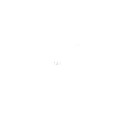 c1ccc(-c2ccccc2Nc2cccc3c2oc2ccccc23)cc1